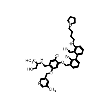 Cc1cncc(COc2cc(OCc3cccc(-c4cccc(NCCCCN5CCCC5)c4C=N)c3Br)c(Cl)cc2CNC(CO)C(=O)O)c1